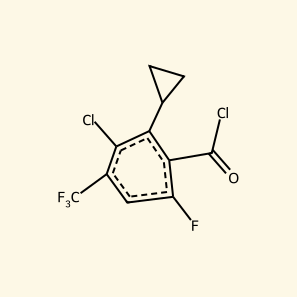 O=C(Cl)c1c(F)cc(C(F)(F)F)c(Cl)c1C1CC1